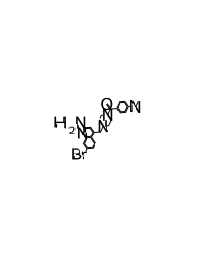 CN(C)c1ccc(C(=O)N2CCN(Cc3cc(N)nc4cc(Br)ccc34)CC2)cc1